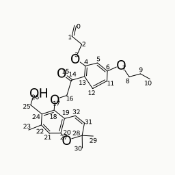 C=CCOc1cc(OCCC)ccc1C(=O)COc1c2c(cc(C)c1CO)OC(C)(C)C=C2